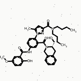 CCCCN(CCCC)C(=O)c1cc(C)n(-c2ccc(NC(=O)c3cc(OC)ccc3O)cc2C(=O)N2Cc3ccccc3C[C@H]2CO)n1